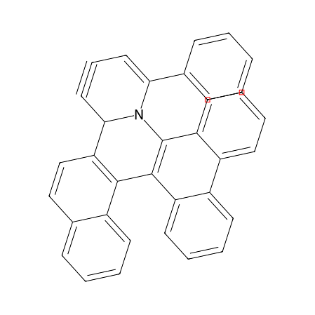 C1#CC2c3ccc4ccccc4c3-c3c(c4ccccc4c4ccccc34)N2C(c2ccccc2)=C1